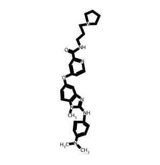 CN(C)c1ccc(Nc2nc3cc(Oc4ccnc(C(=O)NCCCN5CCCC5)c4)ccc3n2C)cc1